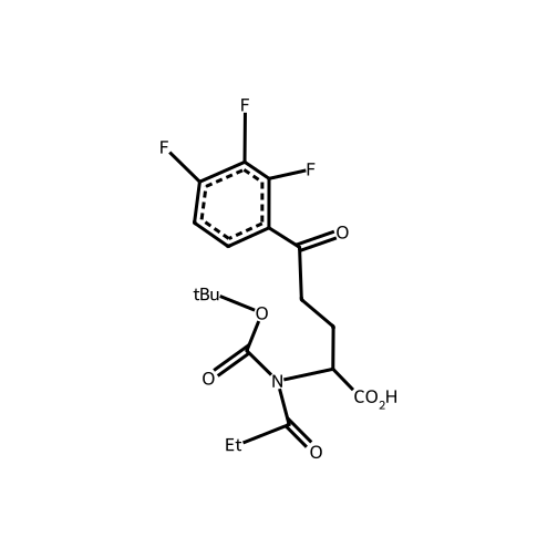 CCC(=O)N(C(=O)OC(C)(C)C)C(CCC(=O)c1ccc(F)c(F)c1F)C(=O)O